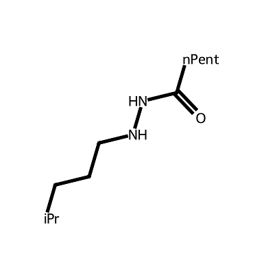 CCCCCC(=O)NNCCCC(C)C